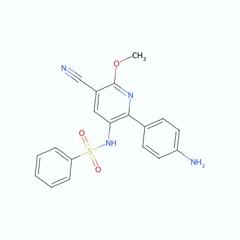 COc1nc(-c2ccc(N)cc2)c(NS(=O)(=O)c2ccccc2)cc1C#N